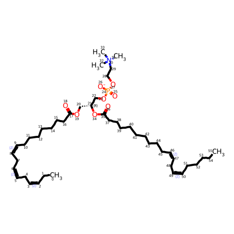 CC/C=C\C/C=C\C/C=C\CCCCCCCC(=O)OC[C@H](COP(=O)([O-])OCC[N+](C)(C)C)OC(=O)CCCCCCCCC/C=C\C/C=C\CCCCC